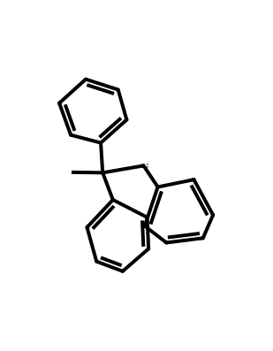 CC([C]c1ccccc1)(c1ccccc1)c1ccccc1